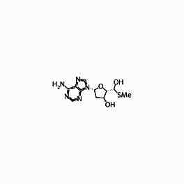 CSC(O)[C@H]1O[C@@H](n2cnc3c(N)ncnc32)C[C@@H]1O